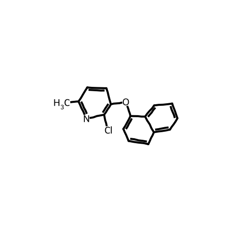 Cc1ccc(Oc2cccc3ccccc23)c(Cl)n1